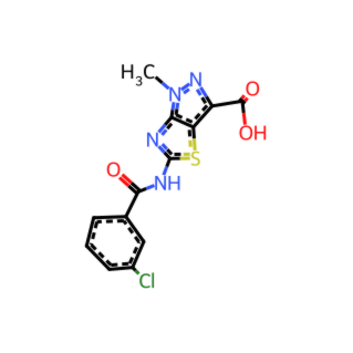 Cn1nc(C(=O)O)c2sc(NC(=O)c3cccc(Cl)c3)nc21